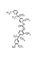 Cc1cccc(C(C)(C)c2ccc(OC(=O)Oc3ccc(C(C)(C)c4ccc(O)c(C)c4)cc3C)c(C)c2)c1